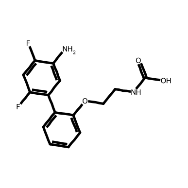 Nc1cc(-c2ccccc2OCCNC(=O)O)c(F)cc1F